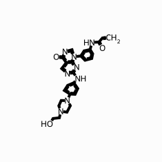 C=CC(=O)Nc1cccc(-n2cnc(=O)c3cnc(Nc4ccc(N5CCN(CCO)CC5)cc4)nc32)c1